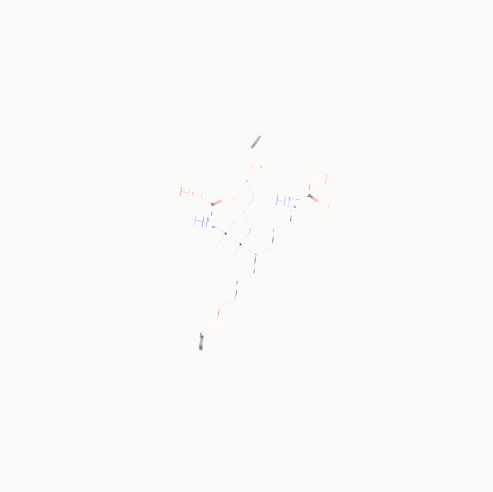 C=COCCCCC(CCCNC(=O)O)C(C)(CCCCOC=C)C(C)(C)NC(=O)O